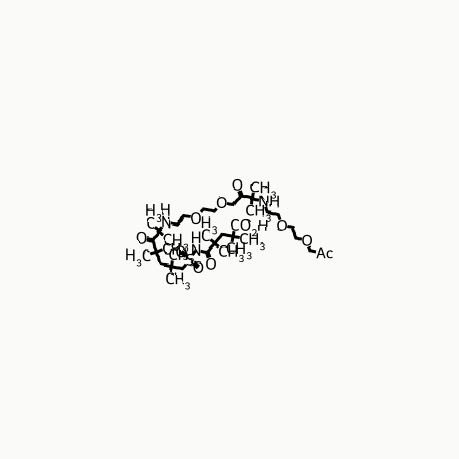 CC(=O)COCCOCCNC(C)(C)C(=O)COCCOCCNC(C)(C)C(=O)C(C)(C)CC(C)(C)CS(=O)(=O)NC(=O)C(C)(C)CC(C)(C)C(=O)O